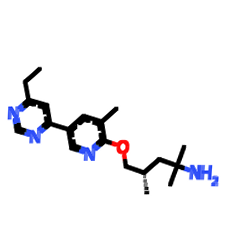 CCc1cc(-c2cnc(OC[C@@H](C)CC(C)(C)N)c(C)c2)ncn1